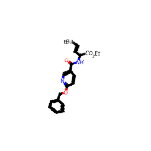 CCOC(=O)C(C=CC(C)(C)C)NC(=O)c1ccc(OCc2ccccc2)nc1